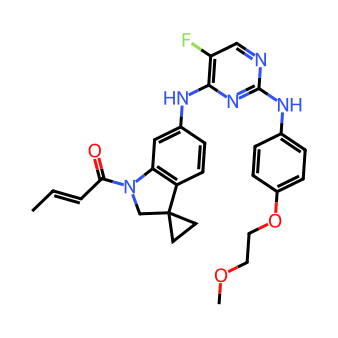 C/C=C/C(=O)N1CC2(CC2)c2ccc(Nc3nc(Nc4ccc(OCCOC)cc4)ncc3F)cc21